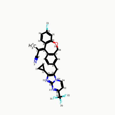 CC(C#N)=C1c2ccc(Cc3c(C4CC4)nc4nc(C(F)(F)F)ccn34)cc2COc2cc(F)ccc21